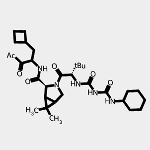 CC(=O)C(=O)C(CC1CCC1)NC(=O)[C@@H]1C2C(CN1C(=O)[C@@H](NC(=O)NC(=O)NC1CCCCC1)C(C)(C)C)C2(C)C